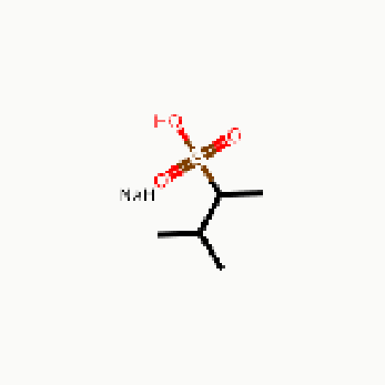 CC(C)C(C)S(=O)(=O)O.[NaH]